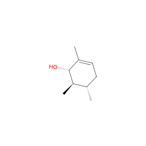 CC1=CC[C@H](C)[C@@H](C)[C@@H]1O